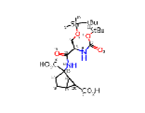 CC(C)(C)OC(=O)NC(CO[Si](C)(C)C(C)(C)C)C(=O)NC1(C(=O)O)CCC2C(C(=O)O)C21